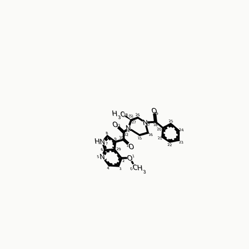 COc1ccnc2[nH]cc(C(=O)C(=O)N3CCN(C(=O)c4ccccc4)C[C@@H]3C)c12